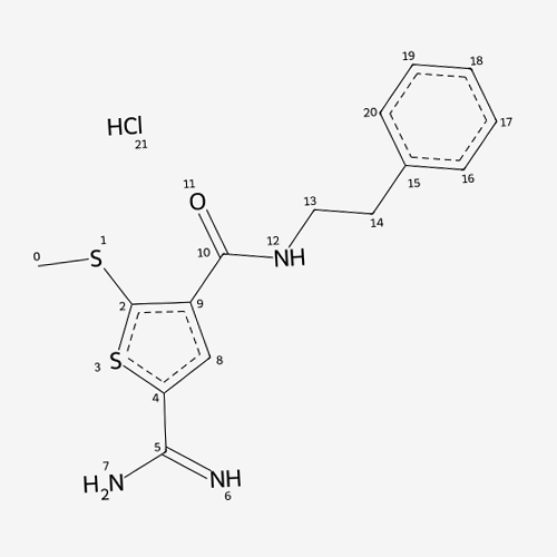 CSc1sc(C(=N)N)cc1C(=O)NCCc1ccccc1.Cl